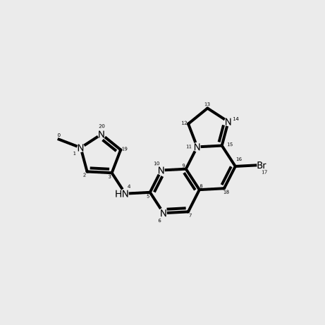 Cn1cc(Nc2ncc3c(n2)N2CCN=C2C(Br)=C3)cn1